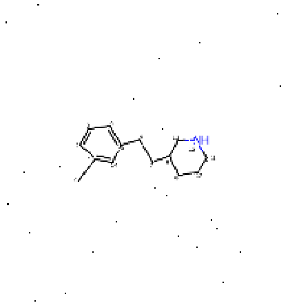 Cc1cccc(CCC2CC[CH]NC2)c1